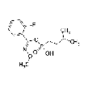 CON=C(OP(=O)(O)CCC(C)C)c1ccccc1F